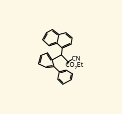 CCOC(=O)C(C#N)C(c1ccccc1-c1ccccc1)c1cccc2ccccc12